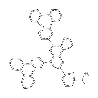 CC(N)c1cccc(-c2cc(-c3ccc4c5ccccc5c5ccccc5c4c3)c3cc(-c4ccc5c6ccccc6c6ccccc6c5c4)c4ccccc4c3n2)c1